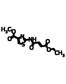 CCOC(=O)/C=C/C(=O)Nc1nc(C(=O)OC)cs1